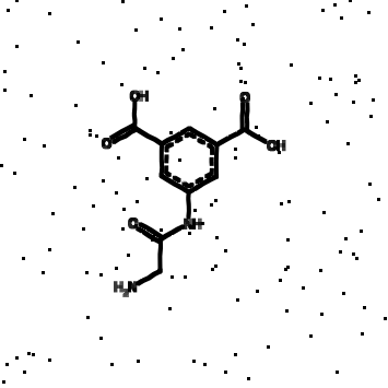 NCC(=O)Nc1cc(C(=O)O)cc(C(=O)O)c1